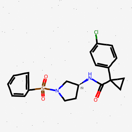 O=C(N[C@H]1CCN(S(=O)(=O)c2ccccc2)C1)C1(c2ccc(Cl)cc2)CC1